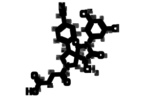 CN1C(=O)N(c2cc(Cl)cc(Cl)c2)C(=O)C12CN(C(=O)CCC(=O)O)CC2c1ccc(C#N)cc1